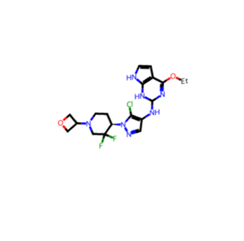 CCOC1=NC(Nc2cnn([C@@H]3CCN(C4COC4)CC3(F)F)c2Cl)Nc2[nH]ccc21